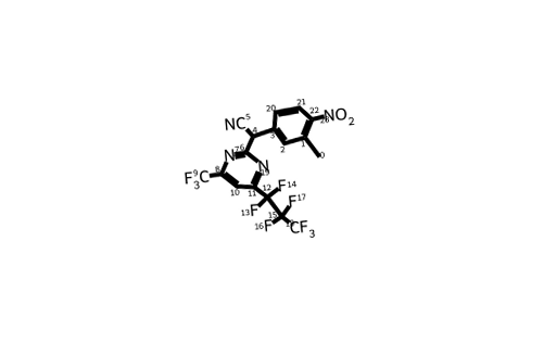 Cc1cc(C(C#N)c2nc(C(F)(F)F)cc(C(F)(F)C(F)(F)C(F)(F)F)n2)ccc1[N+](=O)[O-]